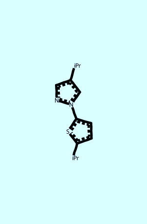 CC(C)c1cnn(-c2ccc(C(C)C)s2)c1